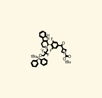 C[C@@H]1Cc2c([nH]c3ccccc23)[C@@H](c2c(F)cc(C(=O)C3CN(C(=O)OC(C)(C)C)C3)cc2F)N1CC(F)(F)CO[Si](c1ccccc1)(c1ccccc1)C(C)(C)C